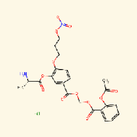 CC(=O)Oc1ccccc1C(=O)OCOC(=O)c1ccc(OCCCO[N+](=O)[O-])c(OC(=O)[C@H](C)N)c1.Cl